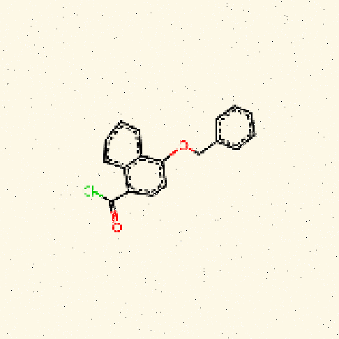 O=C(Cl)c1ccc(OCc2ccccc2)c2ccccc12